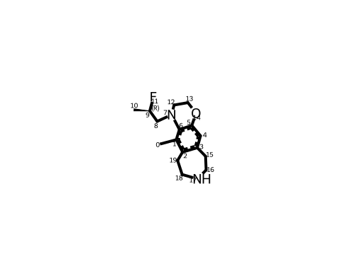 Cc1c2c(cc3c1N(C[C@@H](C)F)CCO3)CCNCC2